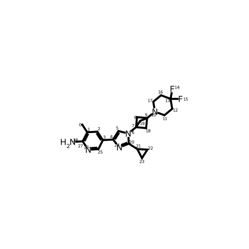 Cc1cc(-c2cn(C34CC(N5CCC(F)(F)CC5)(C3)C4)c(C3CC3)n2)cnc1N